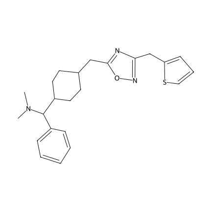 CN(C)C(c1ccccc1)C1CCC(Cc2nc(Cc3cccs3)no2)CC1